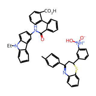 CCn1c2ccccc2c2cc(NC(=O)c3ccccc3-c3ccccc3C(=O)O)ccc21.Cc1ccc(C2=Nc3ccccc3SC(c3cccc([NH+]([O-])O)c3)C2)cc1